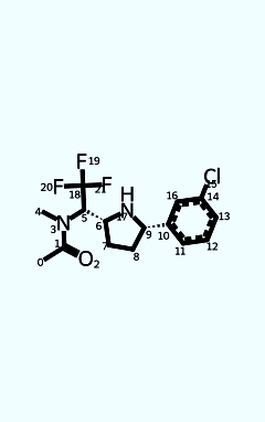 CC(=O)N(C)C([C@H]1CC[C@@H](c2cccc(Cl)c2)N1)C(F)(F)F